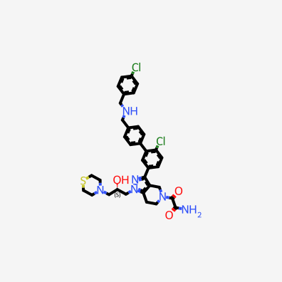 NC(=O)C(=O)N1CCc2c(c(-c3ccc(Cl)c(-c4ccc(CNCc5ccc(Cl)cc5)cc4)c3)nn2C[C@@H](O)CN2CCSCC2)C1